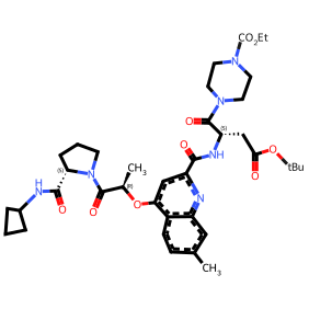 CCOC(=O)N1CCN(C(=O)[C@H](CC(=O)OC(C)(C)C)NC(=O)c2cc(O[C@H](C)C(=O)N3CCC[C@H]3C(=O)NC3CCC3)c3ccc(C)cc3n2)CC1